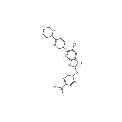 O=C(O)C1=NCC(Oc2nc3nc(C4C=CC(N5CCOCC5)=CC4)c(Cl)cc3[nH]2)C=C1